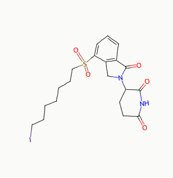 O=C1CCC(N2Cc3c(cccc3S(=O)(=O)CCCCCCCI)C2=O)C(=O)N1